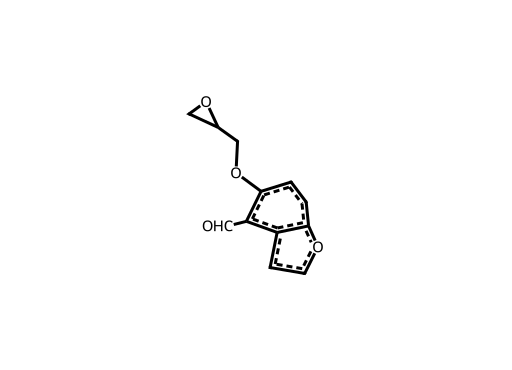 O=Cc1c(OCC2CO2)ccc2occc12